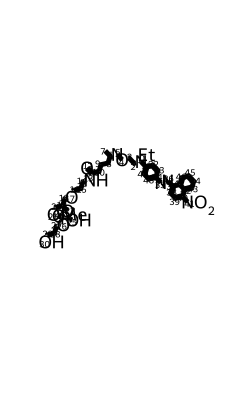 CCN(CCON=C(C)CCCC(=O)NCCCOCC(COC)OP(=O)(O)OCCCO)c1ccc(N=Nc2ccc([N+](=O)[O-])c3ccccc23)cc1